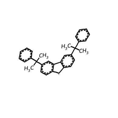 CC(C)(c1ccccc1)c1ccc2c(c1)-c1cc(C(C)(C)c3ccccc3)ccc1[CH]2